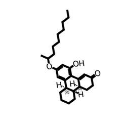 CCCCCCCCC(C)Oc1cc(O)c2c(c1)[C@@H]1CCCC[C@H]1[C@@H]1CCC(=O)C=C21